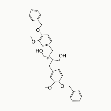 COc1cc(CC(CO)[C@H](CO)Cc2ccc(OCc3ccccc3)c(OC)c2)ccc1OCc1ccccc1